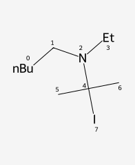 CCCCCN(CC)C(C)(C)I